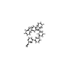 N#Cc1cccc(-c2cccc(-c3cccc(-n4c5ccccc5c5cc6oc7ccccc7c6cc54)c3)c2)n1